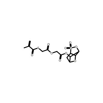 C=C(C)C(=O)SCC(=O)OCC(=O)OC1C2CC3C(O2)C1OS3(=O)=O